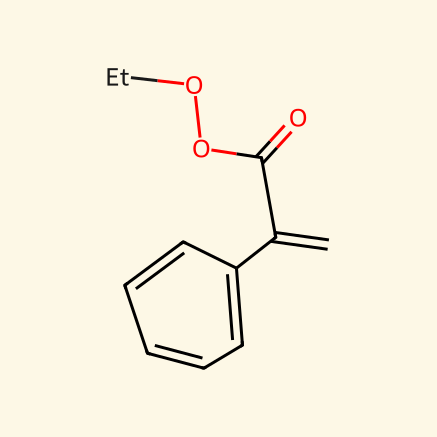 C=C(C(=O)OOCC)c1ccccc1